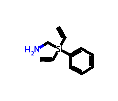 C=C[Si](C=C)(CN)c1ccccc1